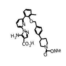 COC(=O)N1CCC(c2ccc(COc3c(C)cccc3-c3cccc(-n4ncc(C(=O)O)c4N)n3)cc2)CC1